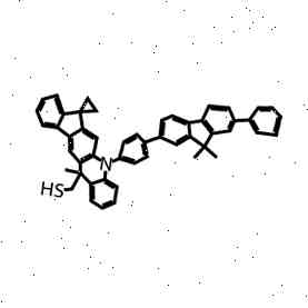 CC1(C)c2cc(-c3ccccc3)ccc2-c2ccc(-c3ccc(N4c5ccccc5C(C)(CS)c5cc6c(cc54)C4(CC4)c4ccccc4-6)cc3)cc21